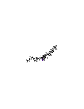 CC(C)=CCCC(C)=CCCC(C)=CCC(I)/C=C(\C)CC/C=C(\C)CC/C=C(\C)CCC=C(C)C